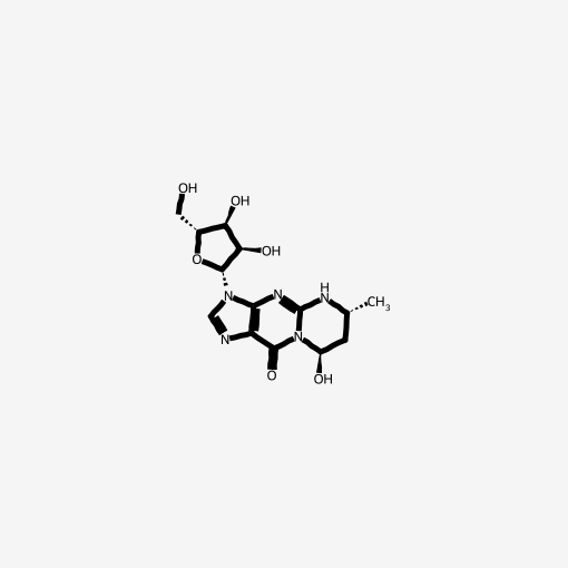 C[C@@H]1C[C@@H](O)n2c(nc3c(ncn3[C@@H]3O[C@H](CO)[C@@H](O)[C@H]3O)c2=O)N1